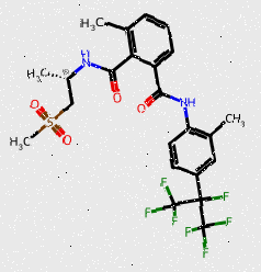 Cc1cc(C(F)(C(F)(F)F)C(F)(F)F)ccc1NC(=O)c1cccc(C)c1C(=O)N[C@@H](C)CS(C)(=O)=O